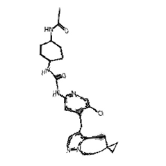 CC(=O)NC1CCC(NC(=O)Nc2cc(-c3cnn4c3CC3(CC3)C4)c(Cl)cn2)CC1